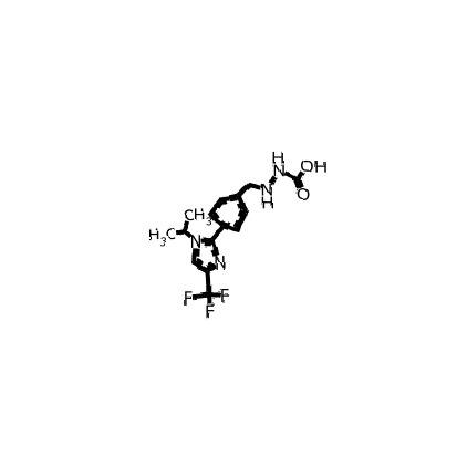 CC(C)n1cc(C(F)(F)F)nc1-c1ccc(CNNC(=O)O)cc1